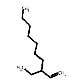 C=CC(CC)CCCCCCC